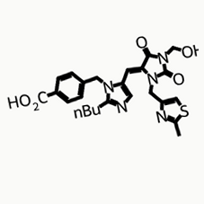 CCCCc1ncc(/C=C2/C(=O)N(CO)C(=O)N2Cc2csc(C)n2)n1Cc1ccc(C(=O)O)cc1